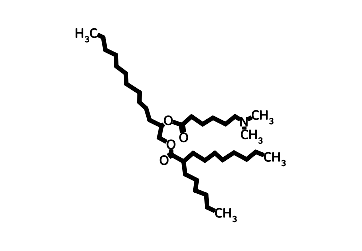 CCCCCCCCCCCC(COC(=O)C(CCCCCC)CCCCCCCC)OC(=O)CCCCCN(C)C